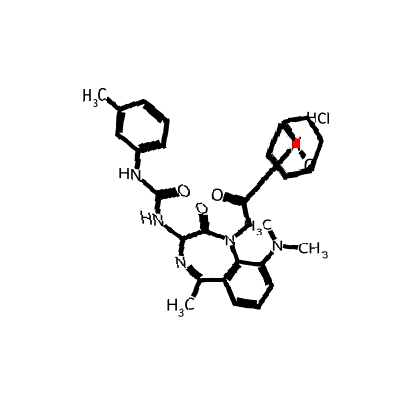 CC1=NC(NC(=O)Nc2cccc(C)c2)C(=O)N(CC(=O)N2CC3CCC(CC3)C2)c2c1cccc2N(C)C.Cl